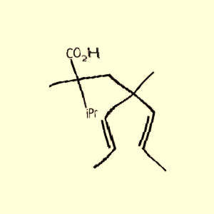 CC=CC(C)(C=CC)CC(C)(C(=O)O)C(C)C